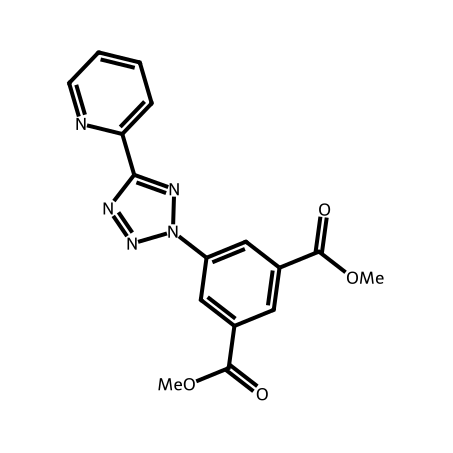 COC(=O)c1cc(C(=O)OC)cc(-n2nnc(-c3ccccn3)n2)c1